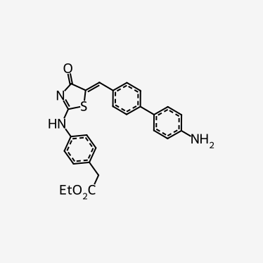 CCOC(=O)Cc1ccc(NC2=NC(=O)C(=Cc3ccc(-c4ccc(N)cc4)cc3)S2)cc1